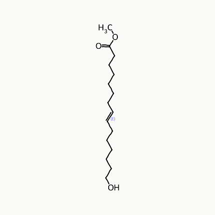 COC(=O)CCCCCC/C=C/CCCCCCO